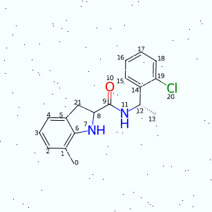 Cc1cccc2c1NC(C(=O)N[C@@H](C)c1ccccc1Cl)C2